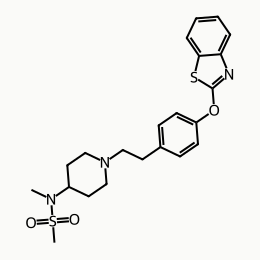 CN(C1CCN(CCc2ccc(Oc3nc4ccccc4s3)cc2)CC1)S(C)(=O)=O